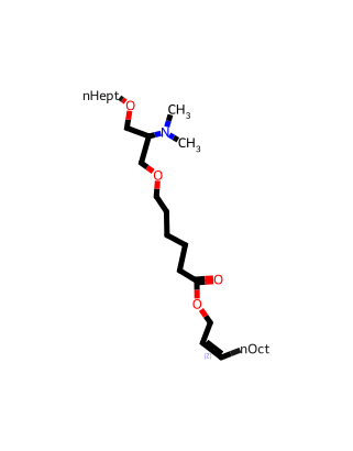 CCCCCCCC/C=C\COC(=O)CCCCCOCC(COCCCCCCC)N(C)C